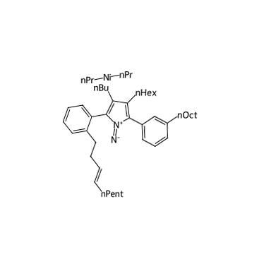 CCCCCC=CCCc1ccccc1C1=C(CCCC)C(CCCCCC)=C(c2cccc(CCCCCCCC)c2)[N+]1=[N-].CC[CH2][Ni][CH2]CC